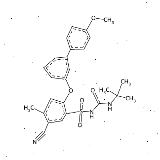 COc1ccc(-c2cccc(Oc3cc(C)c(C#N)cc3S(=O)(=O)NC(=O)NC(C)(C)C)c2)cc1